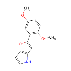 COc1ccc(OC)c(-c2cc3[nH]ccc3o2)c1